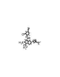 CC(=O)N1c2ccc(-c3cnn(C4CC4)c3)cc2N(C(=O)Oc2ccc(C#N)cc2Cl)C[C@@H]1C